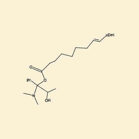 CCCCCCCCCCC=CCCCCCCC(=O)OC(C(C)C)(C(C)O)N(C)C